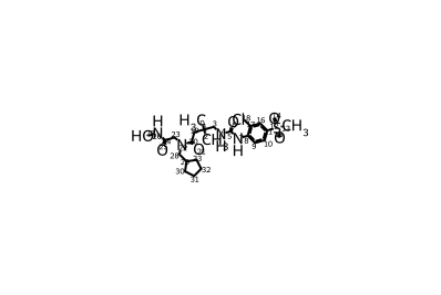 CC(C)(CNC(=O)Nc1ccc(S(C)(=O)=O)cc1Cl)CC(=O)N(CC(=O)NO)CC1CCCC1